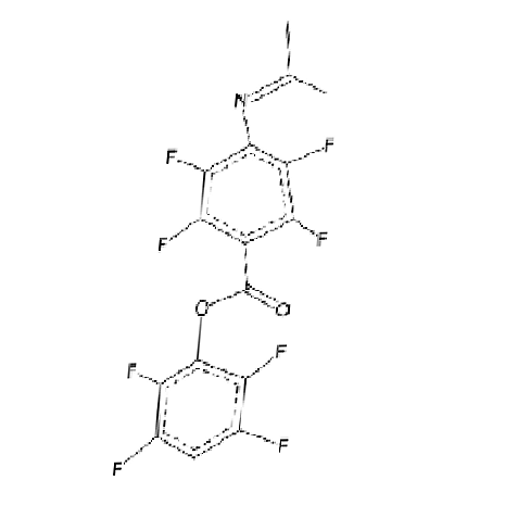 CC(C)=Nc1c(F)c(F)c(C(=O)Oc2c(F)c(F)cc(F)c2F)c(F)c1F